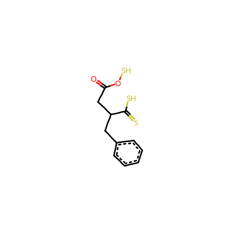 O=C(CC(Cc1ccccc1)C(=S)S)OS